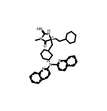 CN1C(=N)N[C@](CCC2CCCCC2)(CC2CCC[C@@H](N(c3ccc4ccccc4n3)c3ccc4ccccc4n3)C2)C1=O